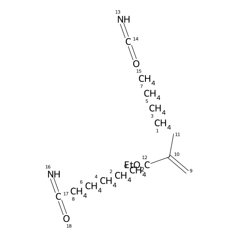 C.C.C.C.C.C.C.C.C.C=C(C)C(=O)OCC.N=C=O.N=C=O